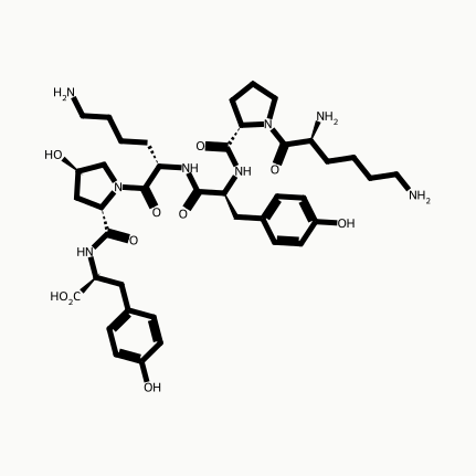 NCCCC[C@H](NC(=O)[C@H](Cc1ccc(O)cc1)NC(=O)[C@@H]1CCCN1C(=O)[C@@H](N)CCCCN)C(=O)N1C[C@H](O)C[C@H]1C(=O)N[C@@H](Cc1ccc(O)cc1)C(=O)O